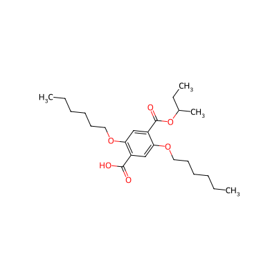 CCCCCCOc1cc(C(=O)OC(C)CC)c(OCCCCCC)cc1C(=O)O